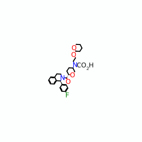 O=C(O)N(CCOC1CCCCO1)[C@@H]1CC[C@@H](C(=O)N2CCc3ccccc3[C@@H]2c2ccc(F)cc2)OC1